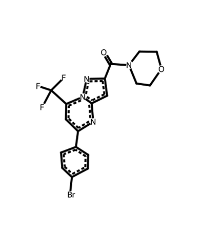 O=C(c1cc2nc(-c3ccc(Br)cc3)cc(C(F)(F)F)n2n1)N1CCOCC1